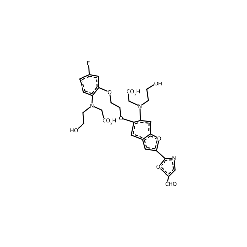 O=Cc1cnc(-c2cc3cc(OCCOc4cc(F)ccc4N(CCO)CC(=O)O)c(N(CCO)CC(=O)O)cc3o2)o1